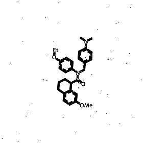 CCOc1ccc(N(Cc2ccc(N(C)C)cc2)C(=O)C2CCCc3ccc(OC)cc32)cc1